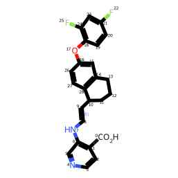 O=C(O)c1ccncc1N/C=C/C1CCCc2cc(Oc3ccc(F)cc3F)ccc21